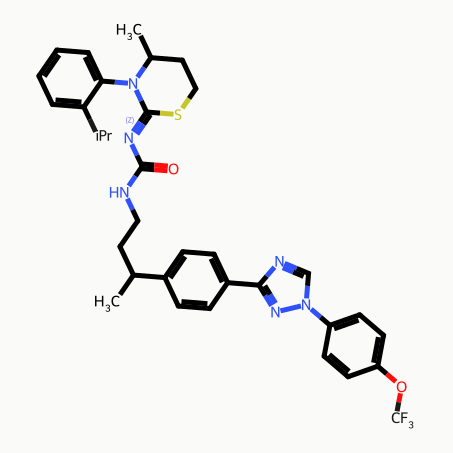 CC(C)c1ccccc1N1/C(=N/C(=O)NCCC(C)c2ccc(-c3ncn(-c4ccc(OC(F)(F)F)cc4)n3)cc2)SCCC1C